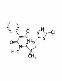 C[C@@H]1C[C@@H](c2cnc(Cl)s2)[n+]2c([O-])c(-c3ccccc3)c(=O)n(C)c21